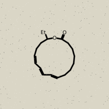 CCC1CC\C=C/C=C/C=C/CCCCCCC(=O)O1